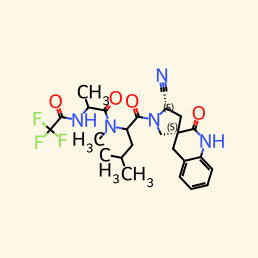 CC(C)CC(C(=O)N1C[C@]2(Cc3ccccc3NC2=O)C[C@H]1C#N)N(C)C(=O)C(C)NC(=O)C(F)(F)F